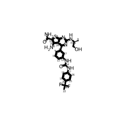 C[C@@H](CO)Nc1nc(-c2cccc(NC(=O)Nc3ccc(C(C)(F)F)cc3)c2)c2c(N)c(C(N)=O)sc2n1